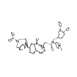 CCC(=O)N1CCN(c2ccc3ncn(CC(=O)N(C)Cc4ccc(Cl)c(Cl)c4)c(=O)c3c2)CC1